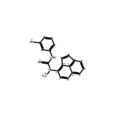 CC(C)c1cccc(NC(=N)N(C)c2ccc3cccc4c3c2C=C4)c1